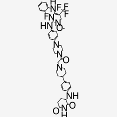 COc1cc(N2CCN(C(=O)CN3CCC(c4ccc(NC5CCC(=O)NC5=O)cc4)CC3)CC2)ccc1Nc1ncc(C(F)(F)F)c(Nc2ccccc2F)n1